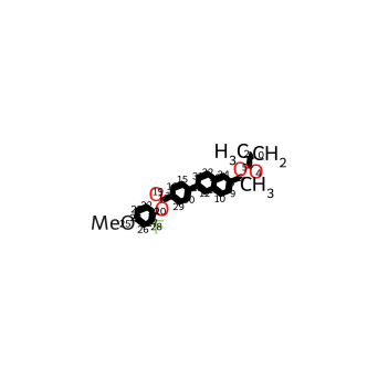 C=C(C)C(=O)OC(C)c1ccc2cc(-c3ccc(C(=O)Oc4ccc(OC)cc4F)cc3)ccc2c1